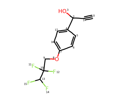 C#CC(O)c1ccc(OCC(F)(F)C(F)F)cc1